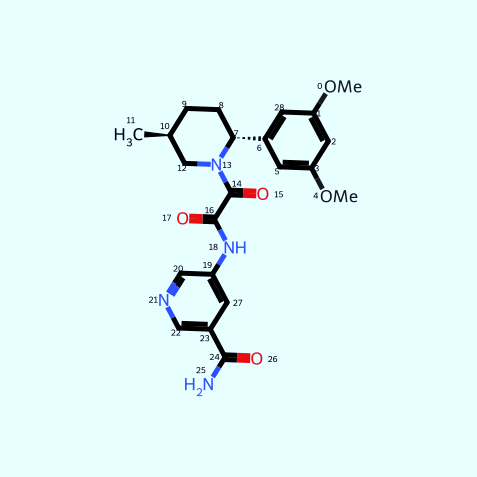 COc1cc(OC)cc([C@H]2CC[C@H](C)CN2C(=O)C(=O)Nc2cncc(C(N)=O)c2)c1